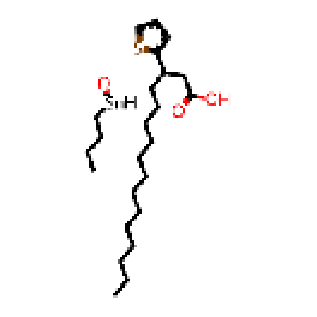 CCCCCCCCCCCCCC(CC(=O)O)c1cccs1.CCC[CH2][SnH]=[O]